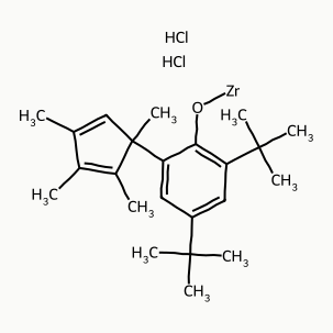 CC1=CC(C)(c2cc(C(C)(C)C)cc(C(C)(C)C)c2[O][Zr])C(C)=C1C.Cl.Cl